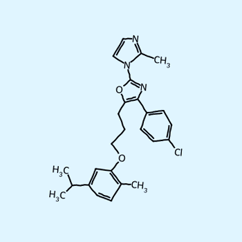 Cc1ccc(C(C)C)cc1OCCCc1oc(-n2ccnc2C)nc1-c1ccc(Cl)cc1